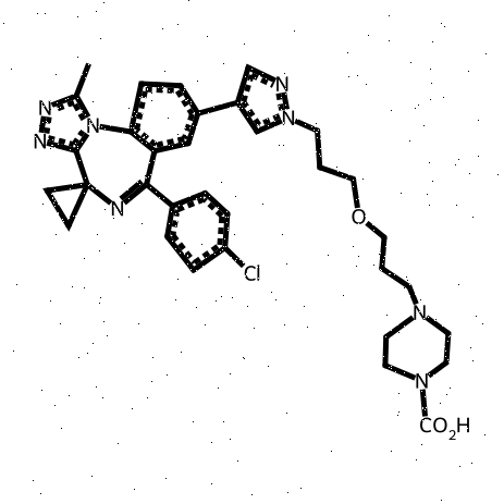 Cc1nnc2n1-c1ccc(-c3cnn(CCCOCCCN4CCN(C(=O)O)CC4)c3)cc1C(c1ccc(Cl)cc1)=NC21CC1